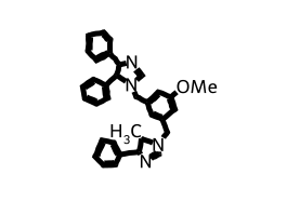 COc1cc(CN2C=NC(c3ccccc3)C2C)cc(CN2C=NC(c3ccccc3)C2c2ccccc2)c1